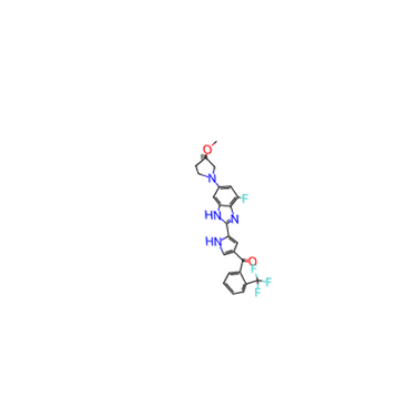 CO[C@@H]1CCN(c2cc(F)c3nc(-c4cc(C(=O)c5ccccc5C(F)(F)F)c[nH]4)[nH]c3c2)C1